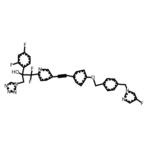 OC(Cn1cnnn1)(c1ccc(F)cc1F)C(F)(F)c1ccc(C#Cc2ccc(OCc3ccc(Cn4cc(F)cn4)cc3)cc2)cn1